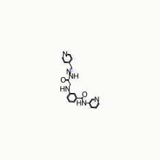 O=C(CNc1cccc(C(=O)Nc2cccnc2)c1)N/N=C/c1ccncc1